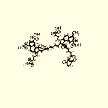 Cc1cc(S(=O)(=O)O)cc2c3c(ccc12)[N+](CCCS(=O)(=O)O)=C(/C=C/C=C/C=C/C=C1/N(CCCS(=O)(=O)O)c2ccc4c(S(=O)(=O)O)cc(S(=O)(=O)O)cc4c2C1(C)C)C3(C)CCCCCC(=O)ON1C(=O)CCC1=O